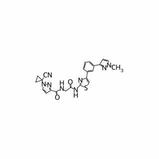 Cn1ccc(-c2cccc(-c3csc(NC(=O)CNC(=O)c4ccn(C5(C#N)CC5)n4)n3)c2)n1